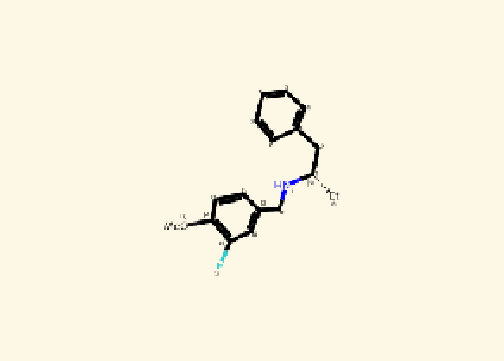 CC[C@@H](Cc1ccccc1)NCc1ccc(OC)c(F)c1